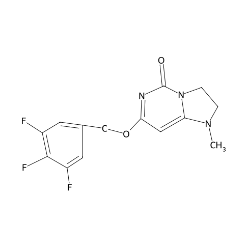 CN1CCn2c1cc(OCc1cc(F)c(F)c(F)c1)nc2=O